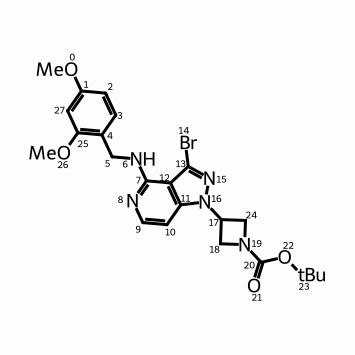 COc1ccc(CNc2nccc3c2c(Br)nn3C2CN(C(=O)OC(C)(C)C)C2)c(OC)c1